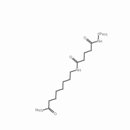 CCCCCNC(=O)CCCC(=O)NCCCCCCCC(=O)SC